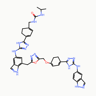 CC(C)NC(=O)NCC1=CC=C(c2nnc(Nc3cc(Cc4nnc(COC5=CC=C(c6nnc(Nc7ccc8[nH]ncc8c7)[nH]6)CC5)o4)c4[nH]ncc4c3)[nH]2)CC1